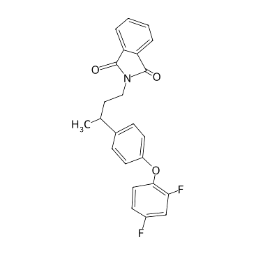 CC(CCN1C(=O)c2ccccc2C1=O)c1ccc(Oc2ccc(F)cc2F)cc1